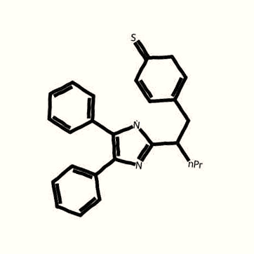 CCCC(CC1=CCC(=S)C=C1)C1=NC(c2ccccc2)=C(c2ccccc2)[N]1